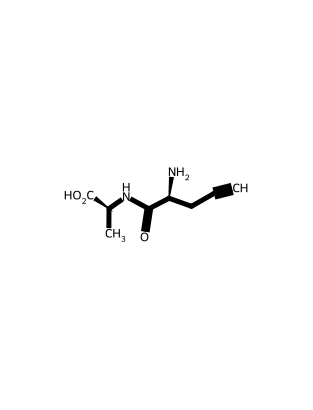 C#CC[C@H](N)C(=O)N[C@@H](C)C(=O)O